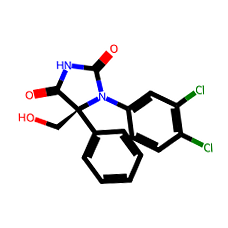 O=C1NC(=O)[C@@](CO)(c2ccccc2)N1c1ccc(Cl)c(Cl)c1